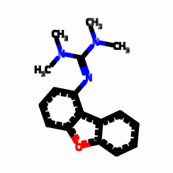 CN(C)C(=Nc1cccc2oc3ccccc3c12)N(C)C